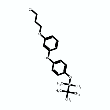 CC(C)(C)[Si](C)(C)Oc1ccc(Nc2cccc(OCCCCl)c2)cc1